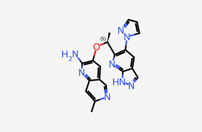 Cc1cc2nc(N)c(O[C@@H](C)c3nc4[nH]ncc4cc3-n3cccn3)cc2cn1